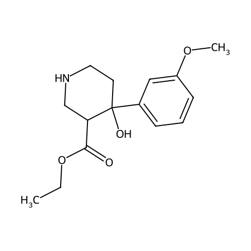 CCOC(=O)C1CNCCC1(O)c1cccc(OC)c1